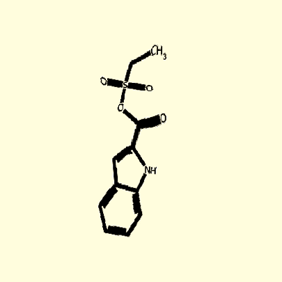 CCS(=O)(=O)OC(=O)c1cc2ccccc2[nH]1